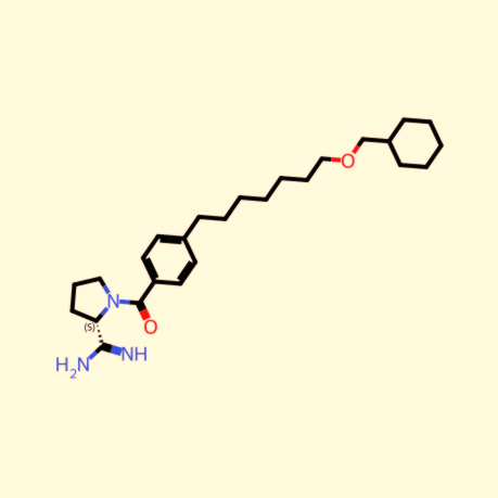 N=C(N)[C@@H]1CCCN1C(=O)c1ccc(CCCCCCCOCC2CCCCC2)cc1